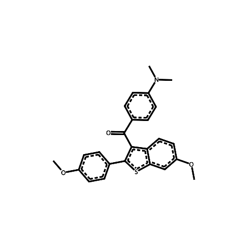 COc1ccc(-c2sc3cc(OC)ccc3c2C(=O)c2ccc(N(C)C)cc2)cc1